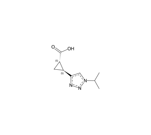 CC(C)n1cc([C@H]2C[C@@H]2C(=O)O)nn1